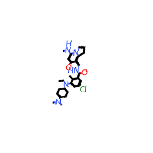 CCN(c1cc(Cl)cc(C(=O)NCc2c3n(c(NC)cc2=O)CCC3)c1C)[C@H]1CC[C@H](N(C)C)CC1